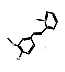 COc1cc(C=Cc2cccc[n+]2C)ccc1O.[I-]